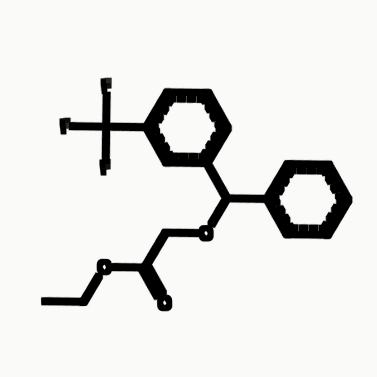 CCOC(=O)COC(c1ccccc1)c1cccc(C(F)(F)F)c1